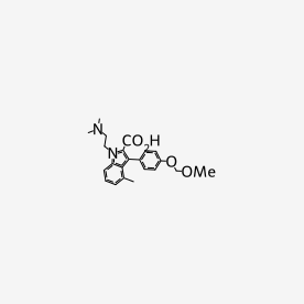 COCOc1ccc(-c2c(C(=O)O)n(CCN(C)C)c3cccc(C)c23)cc1